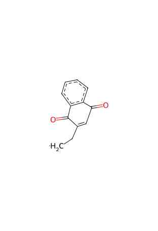 [CH2]CC1=CC(=O)c2ccccc2C1=O